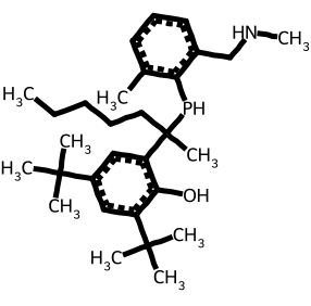 CCCCCC(C)(Pc1c(C)cccc1CNC)c1cc(C(C)(C)C)cc(C(C)(C)C)c1O